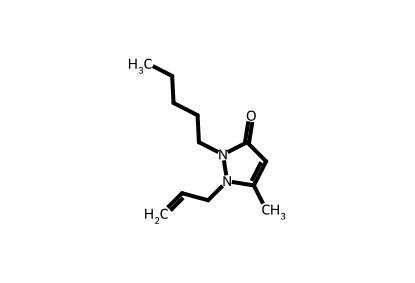 C=CCn1c(C)cc(=O)n1CCCCC